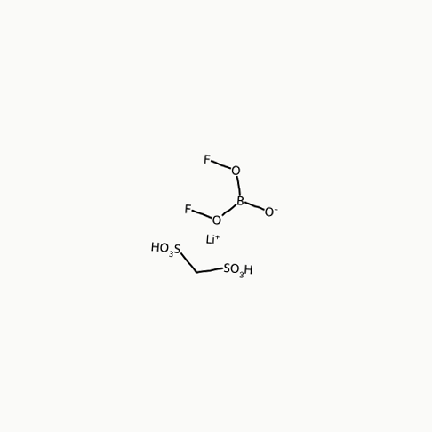 O=S(=O)(O)CS(=O)(=O)O.[Li+].[O-]B(OF)OF